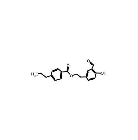 CCCc1ccc(C(=O)OCCc2ccc(O)c(C=O)c2)cc1